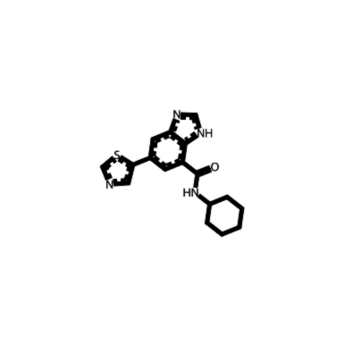 O=C(NC1CCCCC1)c1cc(-c2cncs2)cc2nc[nH]c12